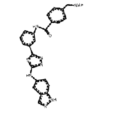 CNCc1ccc(C(=O)Nc2cccc(-c3nnc(Nc4ccc5[nH]ncc5c4)s3)c2)cc1